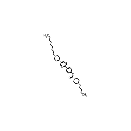 CCCCCCCCC[C@H]1CC[C@H](c2cnc(-c3ccc(OC(=O)[C@H]4CC[C@H](CCCCC)CC4)cc3)nc2)CC1